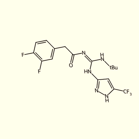 CC(C)(C)N/C(=N/C(=O)Cc1ccc(F)c(F)c1)Nc1cc(C(F)(F)F)[nH]n1